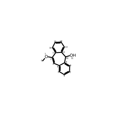 COC1=Cc2ccccc2C(O)c2ccccc21